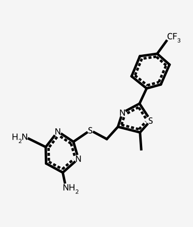 Cc1sc(-c2ccc(C(F)(F)F)cc2)nc1CSc1nc(N)cc(N)n1